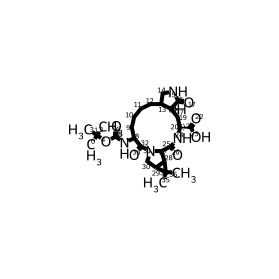 CC(C)(C)OC(=O)NC1CCCCC2CNC(=O)[C@H]2C[C@@H](C(=O)O)NC(=O)C2C3C(CN2C1=O)C3(C)C